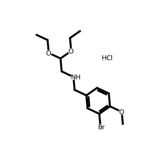 CCOC(CNCc1ccc(OC)c(Br)c1)OCC.Cl